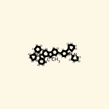 CC1(C)c2cc(-c3ccc4c(c3)c3ccccc3n4-c3ccccn3)ccc2-c2ccc([Si](c3ccccc3)(c3ccccc3)c3ccccc3)cc21